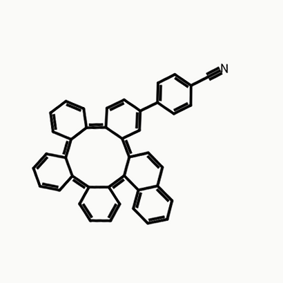 N#Cc1ccc(-c2ccc3c4ccccc4c4ccccc4c4ccccc4c4c5ccccc5ccc4c3c2)cc1